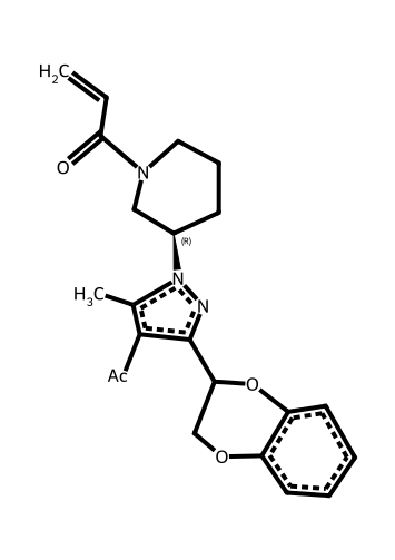 C=CC(=O)N1CCC[C@@H](n2nc(C3COc4ccccc4O3)c(C(C)=O)c2C)C1